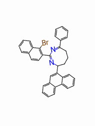 Brc1c(C2=N/C(c3cc4ccccc4c4ccccc34)CCC/C(c3ccccc3)=N\2)ccc2ccccc12